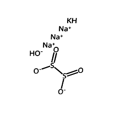 O=S([O-])S(=O)[O-].[KH].[Na+].[Na+].[Na+].[OH-]